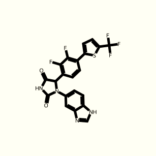 O=C1NC(=O)N(c2ccc3[nH]cnc3c2)C1c1ccc(-c2ccc(C(F)(F)F)s2)c(F)c1F